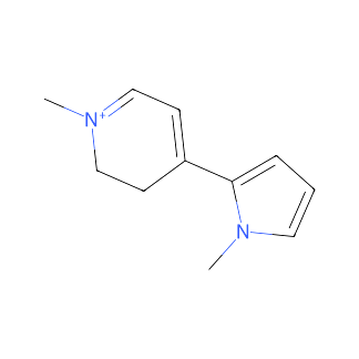 Cn1cccc1C1=CC=[N+](C)CC1